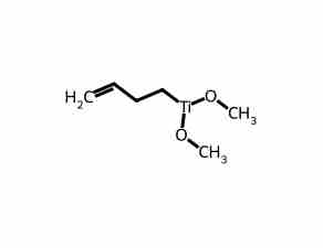 C=CC[CH2][Ti]([O]C)[O]C